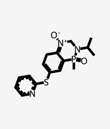 CC(C)N1C[N+]([O-])=C2CC=C(Sc3ccccn3)C=C2P1(C)=O